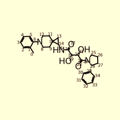 Cc1ccccc1N1CCC2(CC1)CC2NC(=O)[C@H](O)[C@@H](O)C(=O)N1CCC[C@@H]1c1ccccc1